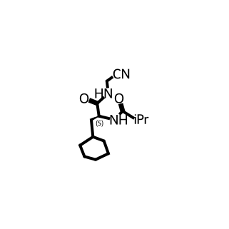 CC(C)C(=O)N[C@@H](CC1CCCCC1)C(=O)NCC#N